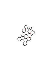 O=P(c1ccccc1)(c1ccccc1)c1c2ccccc2c(-c2nc3ccccc3c3c4ccccc4c4ccccc4c23)c2ccccc12